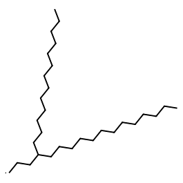 [CH2]CCC(CCCCCCCCCCCCC)CCCCCCCCCCCCC